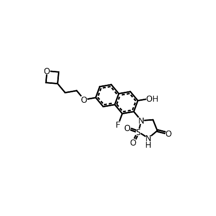 O=C1CN(c2c(O)cc3ccc(OCCC4COC4)cc3c2F)S(=O)(=O)N1